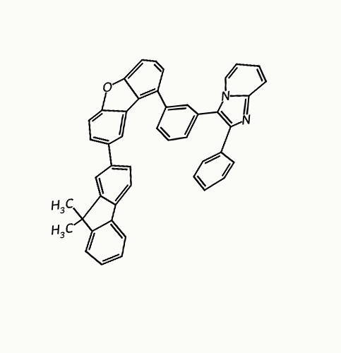 CC1(C)c2ccccc2-c2ccc(-c3ccc4oc5cccc(-c6cccc(-c7c(-c8ccccc8)nc8ccccn78)c6)c5c4c3)cc21